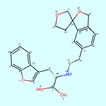 OB(O)[C@H](Cc1coc2ccccc12)NSCc1ccc2c(c1)C1(CCOC1)OC2